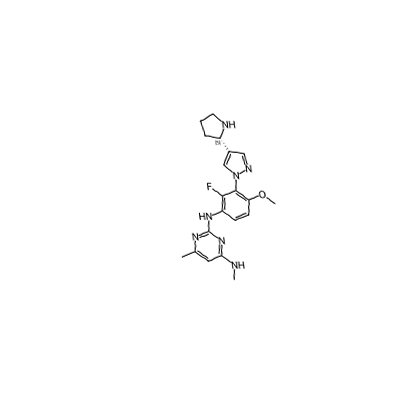 CNc1cc(C)nc(Nc2ccc(OC)c(-n3cc([C@@H]4CCCN4)cn3)c2F)n1